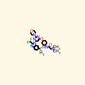 Cc1ccc2nc(C(F)F)n(-c3cc(O[C@H]4CC[C@H](NC(=O)CN(C)C)CC4)nc(N4CCOCC4)n3)c2c1